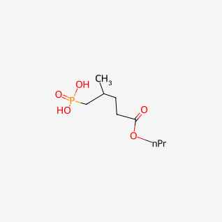 CCCOC(=O)CCC(C)CP(=O)(O)O